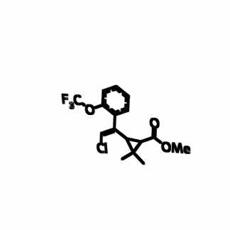 COC(=O)C1C(C(=CCl)c2ccccc2OC(F)(F)F)C1(C)C